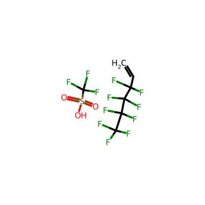 C=CC(F)(F)C(F)(F)C(F)(F)C(F)(F)F.O=S(=O)(O)C(F)(F)F